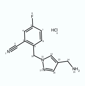 Cl.N#Cc1cc(F)ccc1Cn1cc(CN)cn1